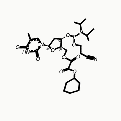 Cc1cn([C@H]2C[C@H](OP(OCCC#N)N(C(C)C)C(C)C)[C@@H](COC(=O)C(=O)OC3CCCCC3)O2)c(=O)[nH]c1=O